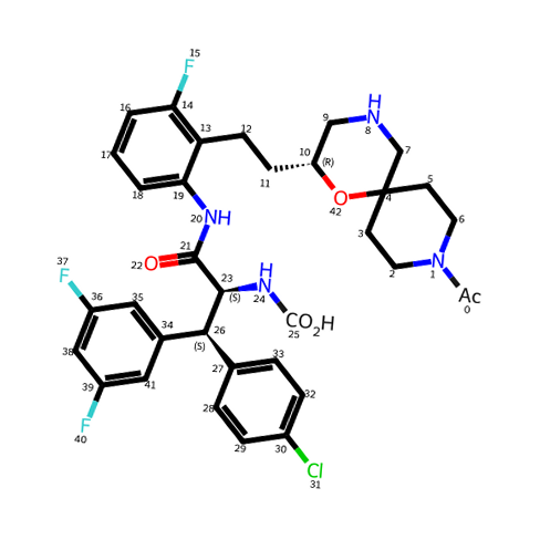 CC(=O)N1CCC2(CC1)CNC[C@@H](CCc1c(F)cccc1NC(=O)[C@@H](NC(=O)O)[C@@H](c1ccc(Cl)cc1)c1cc(F)cc(F)c1)O2